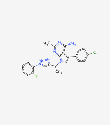 Cc1nc(N)c2c(-c3ccc(Cl)cc3)cn(C(C)c3cn(-c4ccccc4F)nn3)c2n1